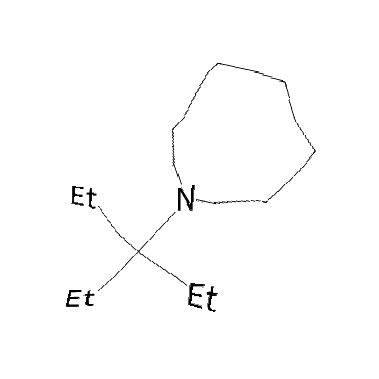 CCC(CC)(CC)N1CCCCC1